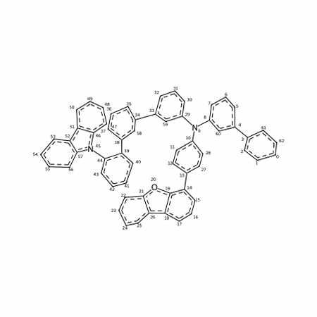 c1ccc(-c2cccc(N(c3ccc(-c4cccc5c4oc4ccccc45)cc3)c3cccc(-c4cccc(-c5ccccc5-n5c6ccccc6c6ccccc65)c4)c3)c2)cc1